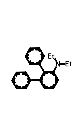 CCN(CC)c1cccc(-c2ccccc2)c1-c1ccccc1